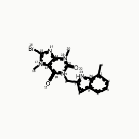 Cc1cccc2cc(Cn3c(=O)c4c(nc(Br)n4C)n(C)c3=O)[nH]c12